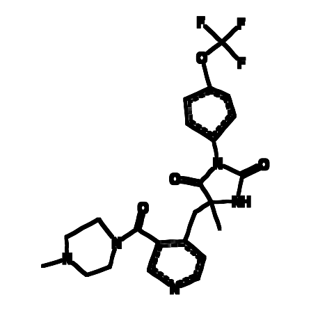 CN1CCN(C(=O)c2cnccc2CC2(C)NC(=O)N(c3ccc(OC(F)(F)F)cc3)C2=O)CC1